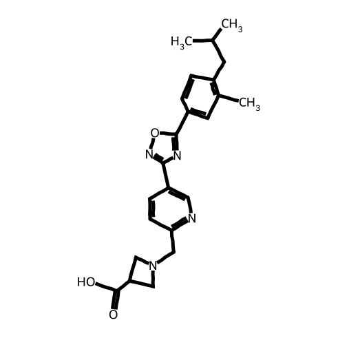 Cc1cc(-c2nc(-c3ccc(CN4CC(C(=O)O)C4)nc3)no2)ccc1CC(C)C